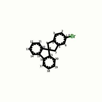 Brc1ccc2c(c1)CC1(C2)c2ccccc2-c2ccccc21